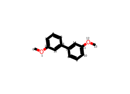 COc1cc[c]c(-c2[c]ccc(OC)c2)c1